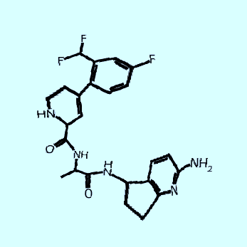 CC(NC(=O)C1C=C(c2ccc(F)cc2C(F)F)CCN1)C(=O)NC1CCc2nc(N)ccc21